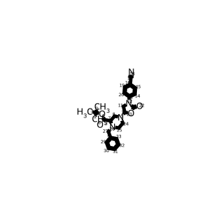 CC(C)(C)OC(=O)C1CN(C2CN(c3ccc(C#N)cc3)C(=O)O2)CCN1Cc1ccccc1